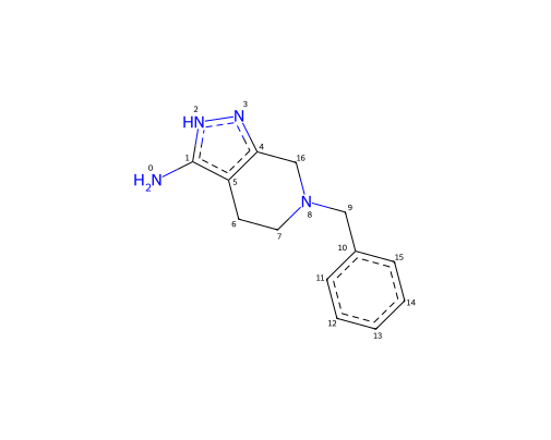 Nc1[nH]nc2c1CCN(Cc1ccccc1)C2